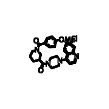 COc1ccc(C(=O)N2CCCC(C(=O)N3CCN(c4ccnc5cc(Cl)ccc45)CC3)C2)cc1